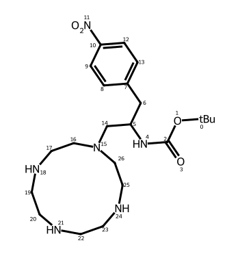 CC(C)(C)OC(=O)NC(Cc1ccc([N+](=O)[O-])cc1)CN1CCNCCNCCNCC1